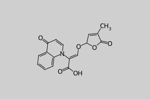 CC1=CC(O/C=C(/C(=O)O)n2ccc(=O)c3ccccc32)OC1=O